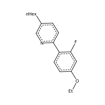 CCCCCCc1ccc(-c2ccc(OCC)cc2F)nc1